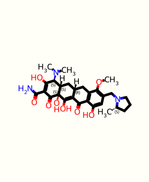 COc1c(CN2CCC[C@@H]2C)cc(O)c2c1C[C@H]1C[C@H]3[C@H](N(C)C)C(O)=C(C(N)=O)C(=O)[C@@]3(O)C(O)=C1C2=O